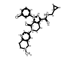 CN1CCc2ncc(N3CCc4c(C(=O)NCC5CC5)nn(-c5cccc(Cl)c5)c4C3=O)cc2C1